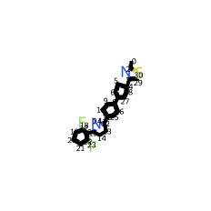 Cc1nc(-c2ccc(-c3ccc(C4CCC(c5c(F)cccc5F)=N4)cc3)cc2)cs1